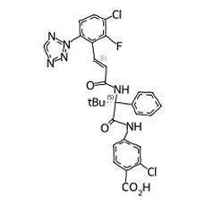 CC(C)(C)[C@@](NC(=O)/C=C/c1c(-n2ncnn2)ccc(Cl)c1F)(C(=O)Nc1ccc(C(=O)O)c(Cl)c1)c1ccccc1